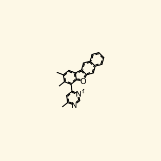 Cc1cc(-c2c(C)c(C)cc3c2oc2cc4ccccc4cc23)[n+](C)cn1